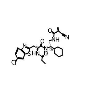 C=C(C#N)C(=O)NC[C@@H](NC(=O)[C@H](Cc1nc2ccc(Cl)cc2s1)NC(=O)CC)C1CCCCC1